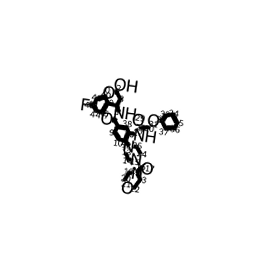 O=C(O)CC(NC(=O)c1ccc(N2CCN(C(=O)N3CCOCC3)CC2)c(NC(=O)COc2ccccc2)c1)c1ccc(F)cc1